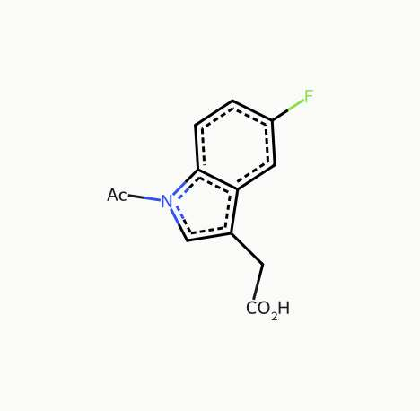 CC(=O)n1cc(CC(=O)O)c2cc(F)ccc21